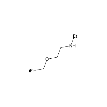 CCNCCOCC(C)C